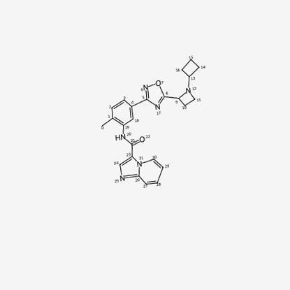 Cc1ccc(-c2noc(C3CCN3C3CCC3)n2)cc1NC(=O)c1cnc2ccccn12